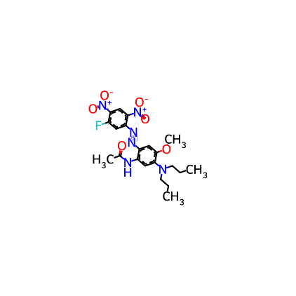 CCCN(CCC)c1cc(NC(C)=O)c(/N=N/c2cc(F)c([N+](=O)[O-])cc2[N+](=O)[O-])cc1OC